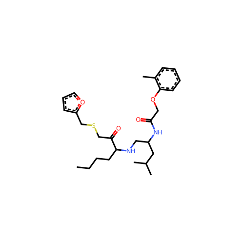 CCCCC(NCC(CC(C)C)NC(=O)COc1ccccc1C)C(=O)CSCc1ccco1